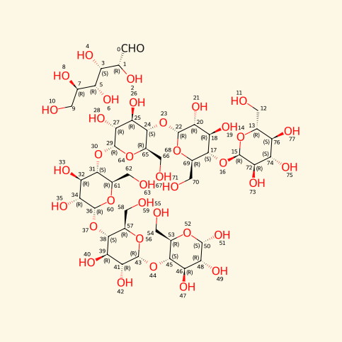 O=C[C@H](O)[C@@H](O)[C@H](O)[C@H](O)CO.OC[C@H]1O[C@H](O[C@H]2[C@H](O)[C@@H](O)[C@@H](O[C@H]3[C@H](O)[C@@H](O)[C@@H](O[C@H]4[C@H](O)[C@@H](O)[C@@H](O[C@H]5[C@H](O)[C@@H](O)[C@@H](O[C@H]6[C@H](O)[C@@H](O)[C@@H](O)O[C@@H]6CO)O[C@@H]5CO)O[C@@H]4CO)O[C@@H]3CO)O[C@@H]2CO)[C@H](O)[C@@H](O)[C@@H]1O